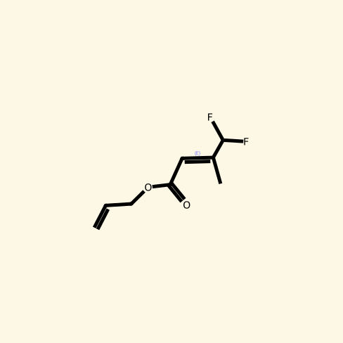 C=CCOC(=O)/C=C(\C)C(F)F